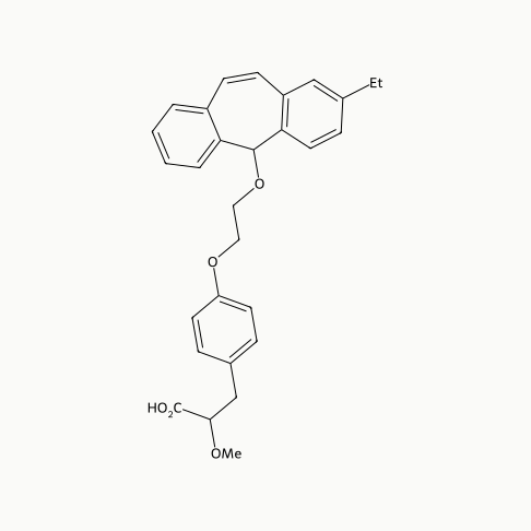 CCc1ccc2c(c1)C=Cc1ccccc1C2OCCOc1ccc(CC(OC)C(=O)O)cc1